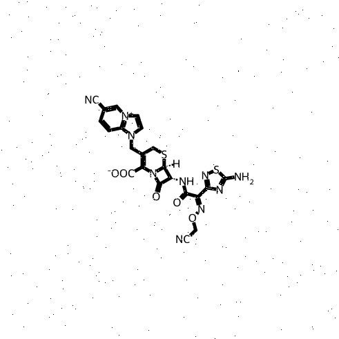 N#CCO/N=C(\C(=O)N[C@@H]1C(=O)N2C(C(=O)[O-])=C(Cn3cc[n+]4cc(C#N)ccc34)CS[C@@H]12)c1nsc(N)n1